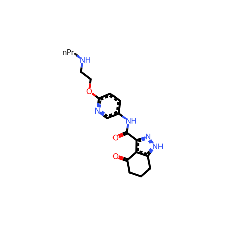 CCCNCCOc1ccc(NC(=O)c2n[nH]c3c2C(=O)CCC3)cn1